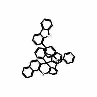 c1ccc(N(c2ccc(-c3cccc4c3oc3ccccc34)cc2)c2cccc3c2C2(c4ccccc4-c4ccccc42)c2ccc4ccccc4c2S3)cc1